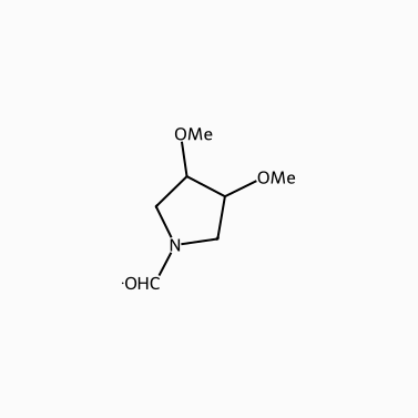 COC1CN([C]=O)CC1OC